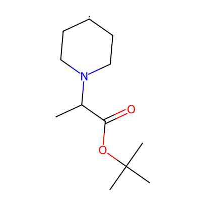 CC(C(=O)OC(C)(C)C)N1CC[CH]CC1